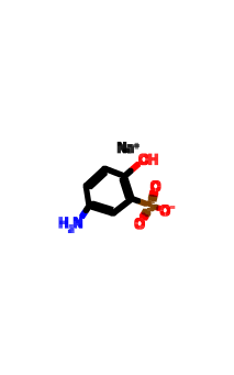 Nc1ccc(O)c(S(=O)(=O)[O-])c1.[Na+]